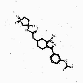 CC(=O)n1nc(-c2cccc(OC(F)F)c2)c2c1CC(CC(=O)N[C@@]1(C)CCS(=O)(=O)C1)CC2